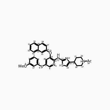 COc1cccc(Sc2cnc(Nc3nc(C4CCN(C(C)=O)CC4)cs3)c(Oc3ccc4ccccc4c3)c2)c1